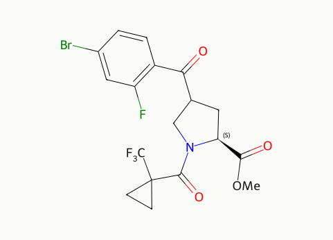 COC(=O)[C@@H]1CC(C(=O)c2ccc(Br)cc2F)CN1C(=O)C1(C(F)(F)F)CC1